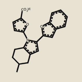 CC1CCc2c(cc(-c3cc4ccccc4o3)n2-c2ccc(C(=O)O)o2)C1